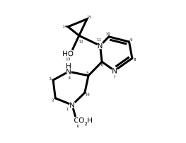 O=C(O)N1CCNC(C2N=CC=CN2C2(O)CC2)C1